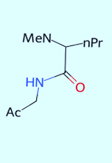 CCCC(NC)C(=O)NCC(C)=O